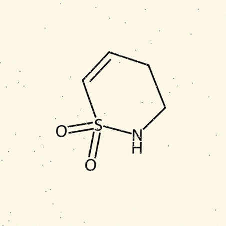 O=S1(=O)C=CCCN1